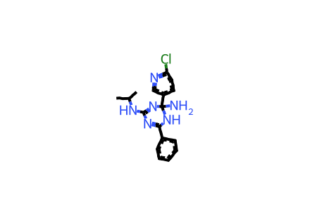 CC(C)NC1=NC(N)(c2ccc(Cl)nc2)NC(c2ccccc2)=N1